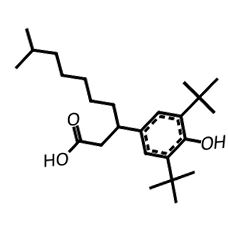 CC(C)CCCCCC(CC(=O)O)c1cc(C(C)(C)C)c(O)c(C(C)(C)C)c1